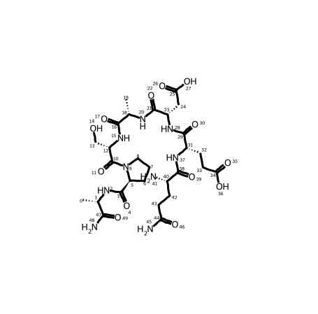 C[C@H](NC(=O)[C@@H]1CCCN1C(=O)[C@H](CO)NC(=O)[C@H](C)NC(=O)[C@H](CC(=O)O)NC(=O)[C@H](CCC(=O)O)NC(=O)[C@@H](N)CCC(N)=O)C(N)=O